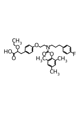 CCOC(Cc1ccc(OCCN(CCCc2ccc(F)cc2)C(=O)Oc2c(C)cc(C)cc2C)cc1)C(=O)O